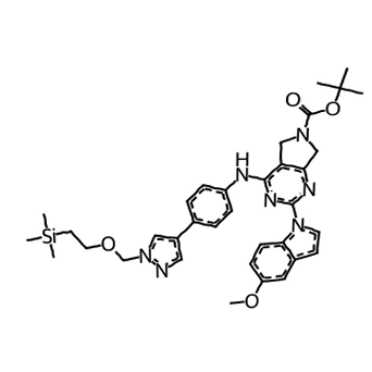 COc1ccc2c(ccn2-c2nc3c(c(Nc4ccc(-c5cnn(COCC[Si](C)(C)C)c5)cc4)n2)CN(C(=O)OC(C)(C)C)C3)c1